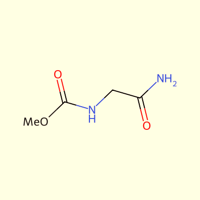 COC(=O)NCC(N)=O